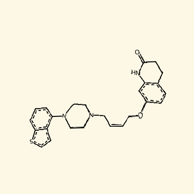 O=C1CCc2ccc(OC/C=C\CN3CCN(c4cccc5sccc45)CC3)cc2N1